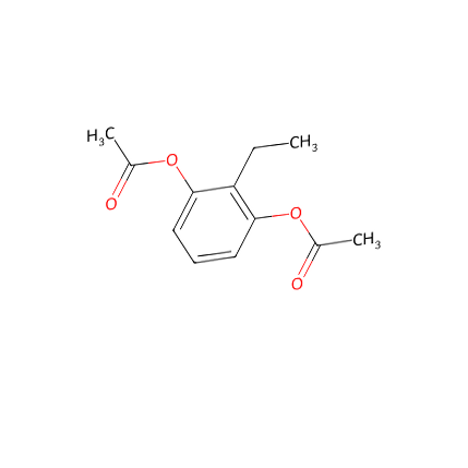 CCc1c(OC(C)=O)cccc1OC(C)=O